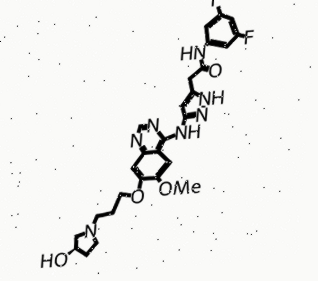 COc1cc2c(Nc3cc(CC(=O)Nc4cc(F)cc(F)c4)[nH]n3)ncnc2cc1OCCCN1CC[C@@H](O)C1